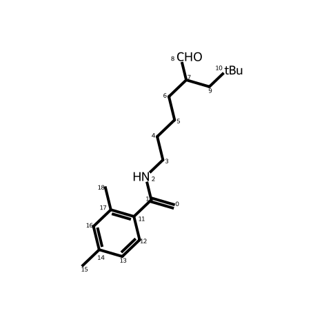 C=C(NCCCCC(C=O)CC(C)(C)C)c1ccc(C)cc1C